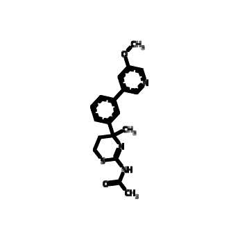 COc1cncc(-c2cccc(C3(C)CCSC(NC(C)=O)=N3)c2)c1